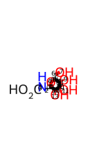 O=C(O)NC[C@@H]1O[C@H](CO)[C@@H](O)[C@H](O)[C@H]1O